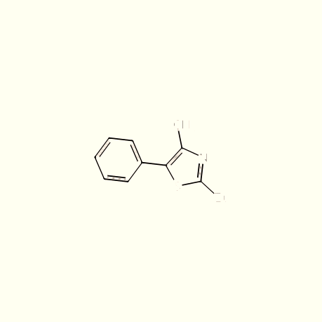 CCc1nc(C)c(-c2ccccc2)s1